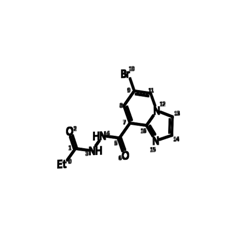 CCC(=O)NNC(=O)c1cc(Br)cn2ccnc12